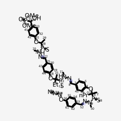 CCCC(C)(Oc1ccc(/C=N/N(C)[PH](=S)C(C)(CC)Oc2ccc(/C=N/N(C)[PH](=S)C(C)Oc3ccc(C(O)P(=O)(OC)OC)cc3)cc2)cc1)[PH](=S)N(C)/N=C/c1ccc(ON=[N+]=[N-])cc1